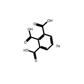 O=C(O)c1cccc(C(=O)O)c1C(=O)O.[Fe]